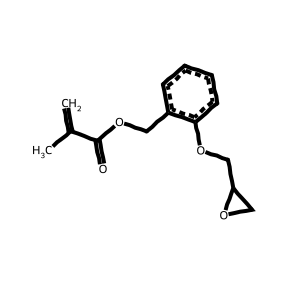 C=C(C)C(=O)OCc1ccccc1OCC1CO1